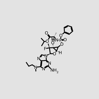 CCCN(C)c1nc(N)nc2c1ncn2[C@@H]1O[C@@H]2C(O[P@@](=O)(N[C@@H](C)C(=O)OC(C)C)Oc3ccccc3)[C@]2(O)[C@@]1(C)F